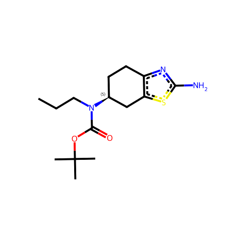 CCCN(C(=O)OC(C)(C)C)[C@H]1CCc2nc(N)sc2C1